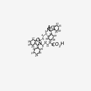 CC(=O)N(CCCCC(=O)N(CCCCC(=O)O)C(c1ccccc1)c1ccccc1)C(c1ccccc1)c1ccccc1